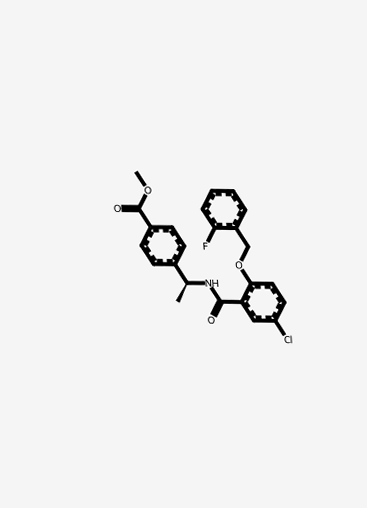 COC(=O)c1ccc([C@H](C)NC(=O)c2cc(Cl)ccc2OCc2ccccc2F)cc1